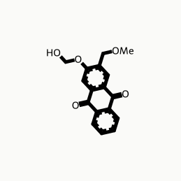 COCc1cc2c(cc1OCO)C(=O)c1ccccc1C2=O